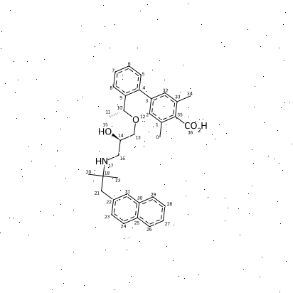 Cc1cc(-c2ccccc2[C@@H](C)OC[C@H](O)CNC(C)(C)Cc2ccc3ccccc3c2)cc(C)c1C(=O)O